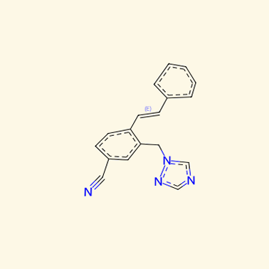 N#Cc1ccc(/C=C/c2ccccc2)c(Cn2cncn2)c1